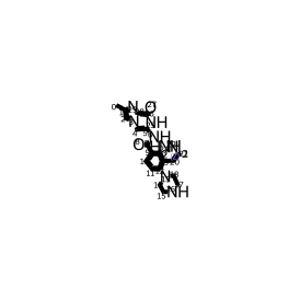 Cc1cn2cc(NC(=O)c3ccc(N4CCNCC4)c(/C=C\N)c3N)[nH]c(=O)c2n1